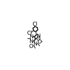 COC(C)N(c1nc(C)nc2c(-c3ccc(Cl)cc3Cl)noc12)C(C)OC